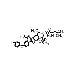 CNC(=O)c1c(-c2ccc(Oc3ccc(F)cc3)cc2)oc2cc3c(cc12)[C@H](C)O[C@H](COC(=O)[C@@H](N)CC(C)C)CN3S(C)(=O)=O